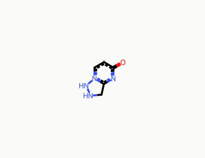 O=c1[c]cn2c(n1)CNN2